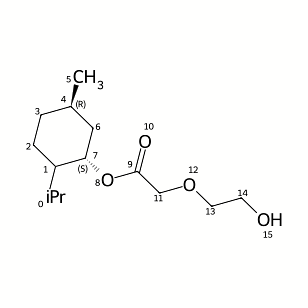 CC(C)C1CC[C@@H](C)C[C@@H]1OC(=O)COCCO